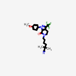 COc1ccc(-n2nc(C(F)(F)F)c3c2C(=O)N(CCCCC(C)(C)C#N)CC3)cc1